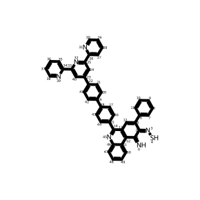 N=C1/C(=N\S)C(c2ccccc2)=Cc2c(-c3ccc(-c4ccc(-c5cc(-c6ccccn6)nc(-c6ccccn6)c5)cc4)cc3)nc3ccccc3c21